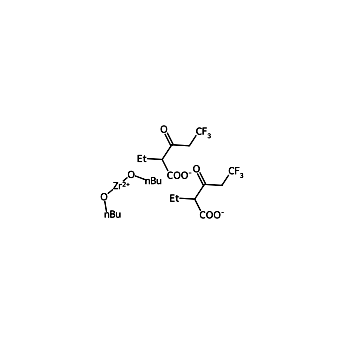 CCC(C(=O)[O-])C(=O)CC(F)(F)F.CCC(C(=O)[O-])C(=O)CC(F)(F)F.CCCC[O][Zr+2][O]CCCC